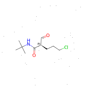 CC(C)(C)NC(=O)[C@@H](C=O)CCCCl